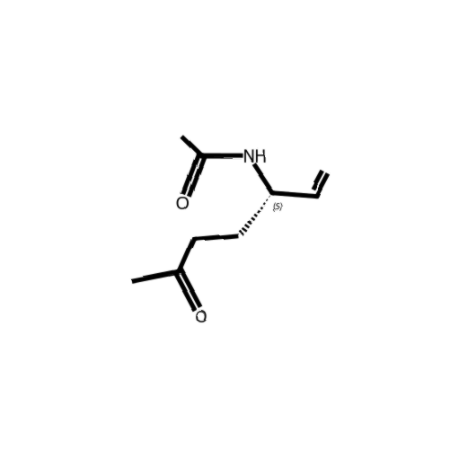 C=C[C@H](CCC(C)=O)NC(C)=O